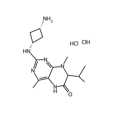 Cc1nc(N[C@H]2C[C@@H](N)C2)nc2c1NC(=O)C(C(C)C)N2C.Cl.Cl